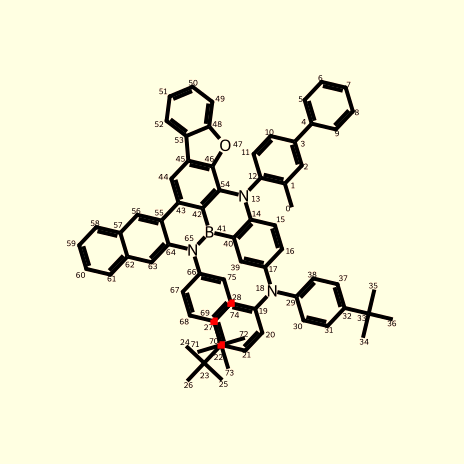 Cc1cc(-c2ccccc2)ccc1N1c2ccc(N(c3ccc(C(C)(C)C)cc3)c3ccc(C(C)(C)C)cc3)cc2B2c3c(cc4c(oc5ccccc54)c31)-c1cc3ccccc3cc1N2c1ccc(C(C)(C)C)cc1